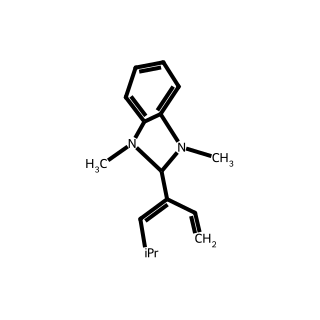 C=C/C(=C\C(C)C)C1N(C)c2ccccc2N1C